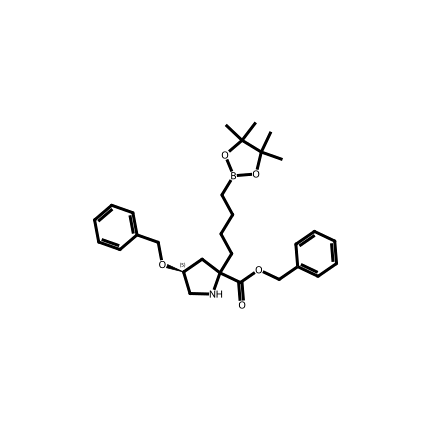 CC1(C)OB(CCCCC2(C(=O)OCc3ccccc3)C[C@H](OCc3ccccc3)CN2)OC1(C)C